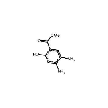 COC(=O)c1cc(N)c(N)cc1O